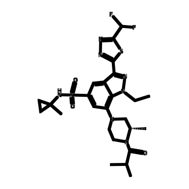 CCn1nc(-c2nnc(C(F)F)s2)c2cc(S(=O)(=O)NC3(C)CC3)cc(N3CCN(C(=O)C(C)C)[C@@H](C)C3)c21